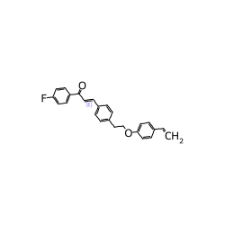 C=Cc1ccc(OCCc2ccc(/C=C/C(=O)c3ccc(F)cc3)cc2)cc1